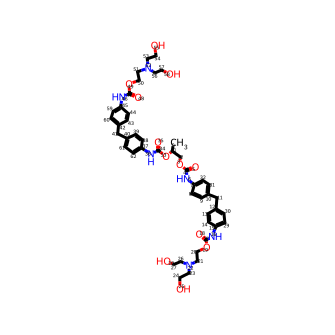 CC(COC(=O)Nc1ccc(Cc2ccc(NC(=O)OCCN(CCO)CCO)cc2)cc1)OC(=O)Nc1ccc(Cc2ccc(NC(=O)OCCN(CCO)CCO)cc2)cc1